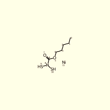 CCCCCOC(=O)N(S)S.[Ni]